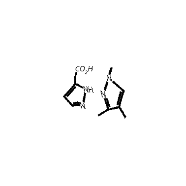 Cc1cn(C)nc1C.O=C(O)c1ccn[nH]1